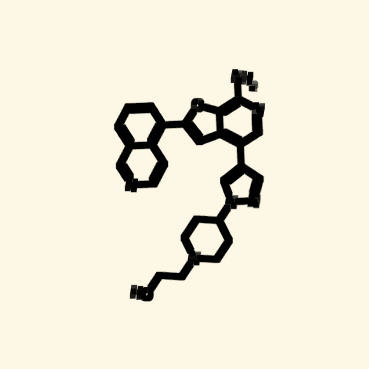 Nc1ncc(-c2cnn(C3CCN(CCO)CC3)c2)c2cc(-c3cccc4cnccc34)oc12